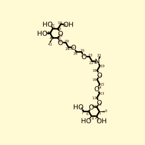 C[C@H]1C(O)[C@@H](O)C(CO)O[C@H]1OCCOCCOCCN(C)CCOCCOCCO[C@@H]1OC(CO)[C@H](O)C(O)[C@@H]1C